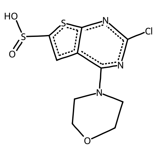 O=S(O)c1cc2c(N3CCOCC3)nc(Cl)nc2s1